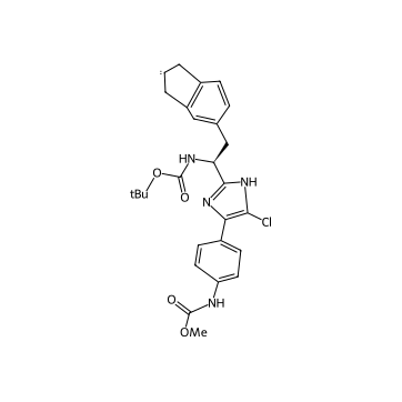 COC(=O)Nc1ccc(-c2nc([C@H](Cc3ccc4c(c3)C[C]C4)NC(=O)OC(C)(C)C)[nH]c2Cl)cc1